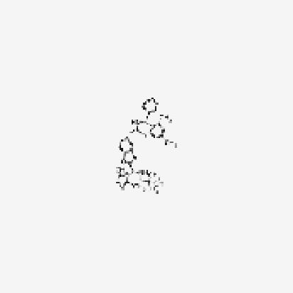 Cc1ccc(C(NC(=O)Cc2ccc3oc(C(NCC(C)(C)O)c4c(C)noc4C)cc3c2)c2ccccc2)c(C)c1